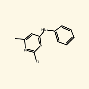 CCc1nc(C)cc(Nc2ccccc2)n1